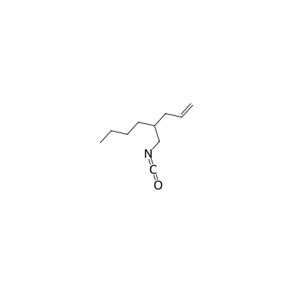 C=CCC(CCCC)CN=C=O